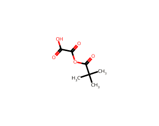 CC(C)(C)C(=O)OC(=O)C(=O)O